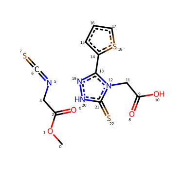 COC(=O)CN=C=S.O=C(O)Cn1c(-c2cccs2)n[nH]c1=S